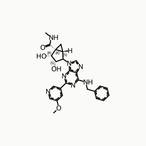 CNC(=O)[C@]12C[C@@H]1C(n1cnc3c(NCc4ccccc4)nc(-c4cncc(OC)c4)nc31)[C@H](O)[C@@H]2O